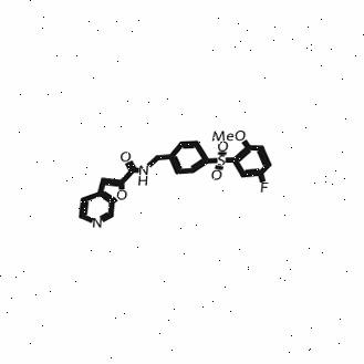 COc1ccc(F)cc1S(=O)(=O)c1ccc(CNC(=O)c2cc3ccncc3o2)cc1